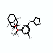 CCS(=O)(=O)N1[C@@H]2CCC[C@H]1C[C@H](N(C)c1nc(Cl)cc(O[C@H]3CCOC3)n1)C2